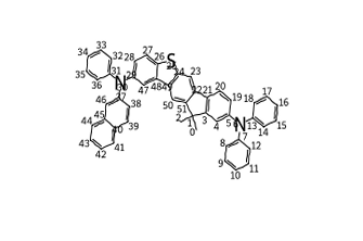 CC1(C)c2cc(N(c3ccccc3)c3ccccc3)ccc2-c2cc3sc4ccc(N(c5ccccc5)c5ccc6ccccc6c5)cc4c3cc21